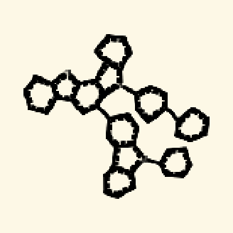 c1ccc(-c2ccc(-n3c4ccccc4c4c5oc6ccccc6c5cc(-c5ccc6c(c5)c5ccccc5n6-c5ccccc5)c43)cc2)cc1